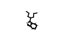 CCCC(CCC)c1scc2ccccc12